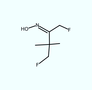 CC(C)(CF)/C(CF)=N\O